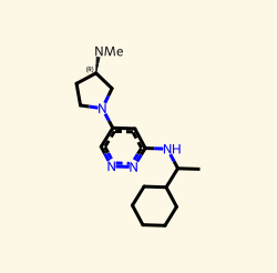 CN[C@@H]1CCN(c2cnnc(NC(C)C3CCCCC3)c2)C1